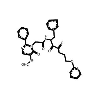 O=CNc1cnc(-c2ccccc2)n(CC(=O)NC(Cc2ccccc2)C(=O)C(=O)CCCOc2ccccn2)c1=O